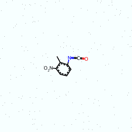 Cc1c(N=C=O)cccc1[N+](=O)[O-]